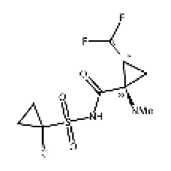 CN[C@]1(C(=O)NS(=O)(=O)C2(Cl)CC2)C[C@H]1C(F)F